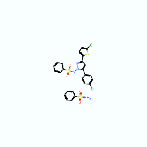 NS(=O)(=O)c1ccccc1.O=S(=O)(Nn1nc(-c2ccc(Cl)s2)cc1-c1ccc(Cl)cc1)c1ccccc1